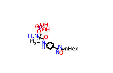 CCCCCCc1nc(-c2ccc(NC(=O)[C@@](C)(N)COP(=O)(O)O)cc2)no1